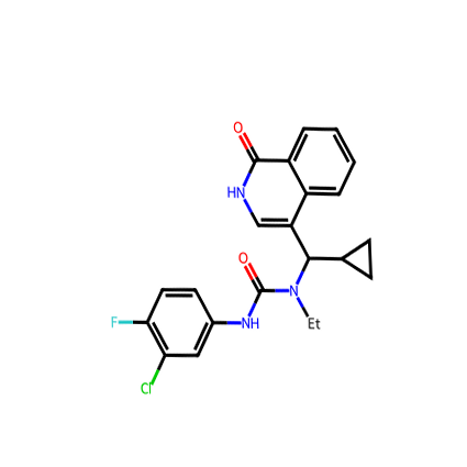 CCN(C(=O)Nc1ccc(F)c(Cl)c1)C(c1c[nH]c(=O)c2ccccc12)C1CC1